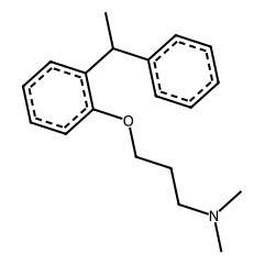 CC(c1ccccc1)c1ccccc1OCCCN(C)C